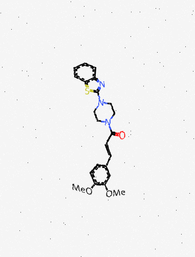 COc1ccc(/C=C/C(=O)N2CCN(c3nc4ccccc4s3)CC2)cc1OC